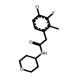 Cc1c(CC(=O)NC2CCOCC2)ccc(Cl)c1F